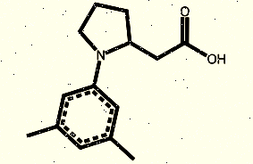 Cc1cc(C)cc(N2CCCC2CC(=O)O)c1